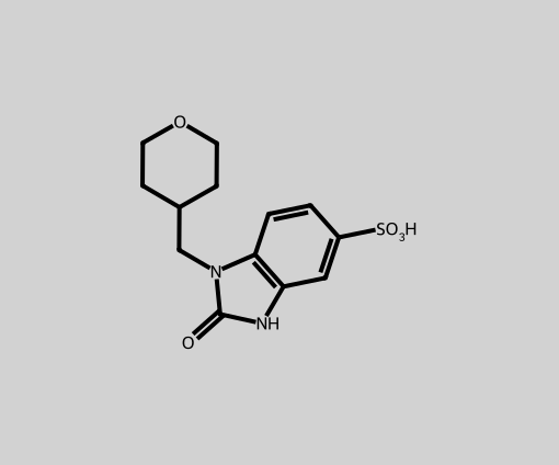 O=c1[nH]c2cc(S(=O)(=O)O)ccc2n1CC1CCOCC1